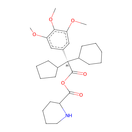 COc1cc([C@@](C(=O)OC(=O)C2CCCCN2)(C2CCCCC2)C2CCCC2)cc(OC)c1OC